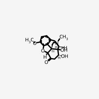 COc1ccc2c3c1O[C@H]1C(=O)C[C@@H](O)C4(O)[C@@H](C2)N(C)CC[C@]314